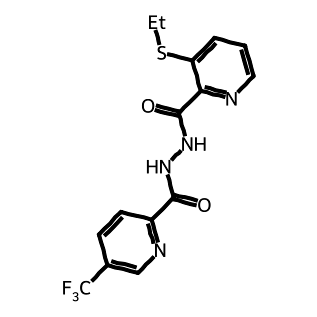 CCSc1cccnc1C(=O)NNC(=O)c1ccc(C(F)(F)F)cn1